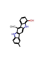 Cc1ccc2[nH]c3c(C=O)c4c(cc3c2c1)[nH]c1c(O)cccc14